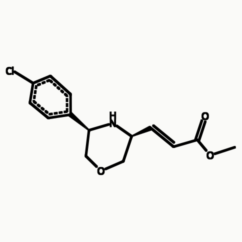 COC(=O)C=C[C@H]1COC[C@@H](c2ccc(Cl)cc2)N1